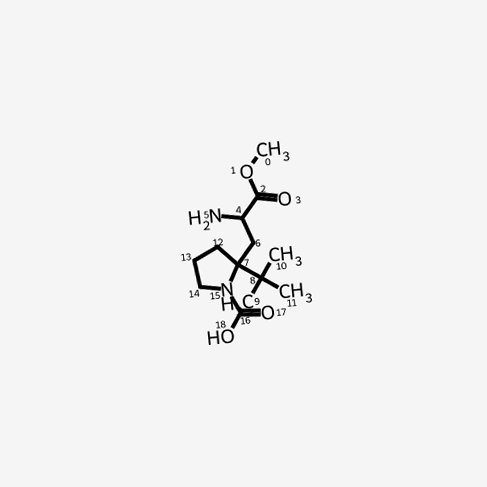 COC(=O)C(N)CC1(C(C)(C)C)CCCN1C(=O)O